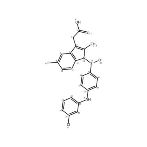 Cc1c(CC(=O)O)c2cc(F)ccc2n1[S+]([O-])c1ccc(Nc2cccc(Cl)c2)cc1